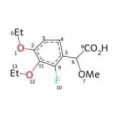 CCOc1ccc(C(OC)C(=O)O)c(F)c1OCC